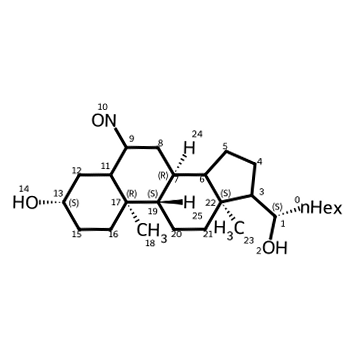 CCCCCC[C@H](O)C1CCC2[C@@H]3CC(N=O)C4C[C@@H](O)CC[C@]4(C)[C@H]3CC[C@]12C